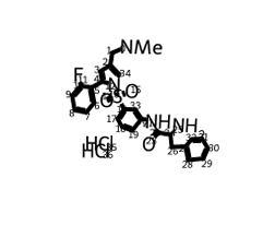 CNCc1cc(-c2ccccc2F)n(S(=O)(=O)c2cccc(NC(=O)[C@@H](N)Cc3ccccc3)c2)c1.Cl.Cl